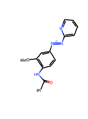 COc1cc(/N=N/c2ccccn2)ccc1NC(=O)C(C)C